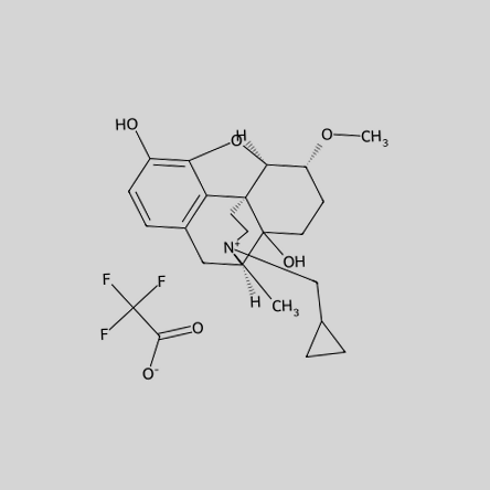 CO[C@@H]1CCC2(O)[C@H]3Cc4ccc(O)c5c4[C@@]2(CC[N+]3(C)CC2CC2)[C@H]1O5.O=C([O-])C(F)(F)F